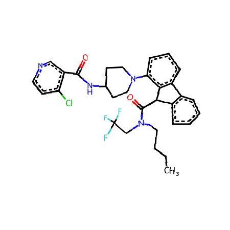 CCCCN(CC(F)(F)F)C(=O)C1c2ccccc2-c2cccc(N3CCC(NC(=O)c4cnccc4Cl)CC3)c21